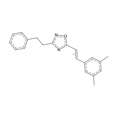 Cc1cc(C)cc(/C=C/c2nc(CCc3ccccc3)no2)c1